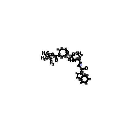 CC[C@@H](/C=C/C(=O)N1CCc2ccccc21)NC(=O)C[C@@H]1CN(C(=O)OC(C)(C)C)CCCO1